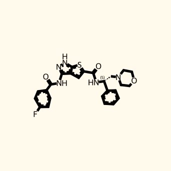 O=C(Nc1n[nH]c2sc(C(=O)N[C@H](CN3CCOCC3)c3ccccc3)cc12)c1ccc(F)cc1